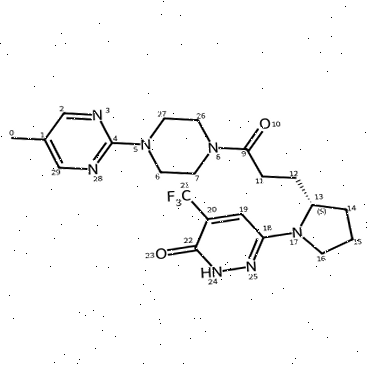 Cc1cnc(N2CCN(C(=O)CC[C@@H]3CCCN3c3cc(C(F)(F)F)c(=O)[nH]n3)CC2)nc1